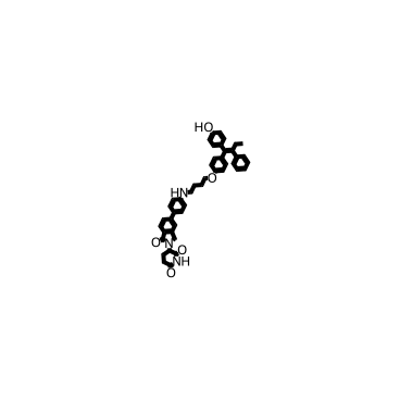 CC/C(=C(\c1ccc(O)cc1)c1ccc(OCCCCNc2ccc(-c3ccc4c(c3)CN(C3CCC(=O)NC3=O)C4=O)cc2)cc1)c1ccccc1